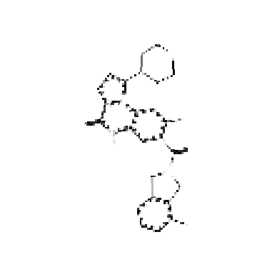 Cc1cc2c(cc1C(=O)N1Cc3cccc(I)c3C1)[nH]c(=O)c1ccc(C3CCOCC3)n12